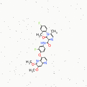 COc1cc2nccc(Oc3ccc(NC(=O)c4ncc(C)n(-c5ccc(F)cc5C)c4=O)cc3F)c2nc1OC